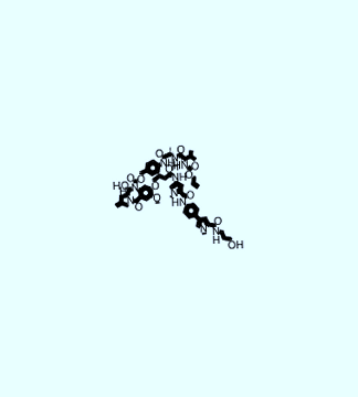 C=CCOC(=O)N[C@H](C(=O)N[C@@H](C)C(=O)Nc1ccc(COC(=O)N2c3cc(OCCCC(=O)Nc4cc(C(=O)Nc5ccc(-c6cc(C(=O)NCCCO)n(C)c6)cc5)n(C)c4)c(OC)cc3C(=O)N3CC(=C)C[C@H]3[C@@H]2O)cc1)C(C)C